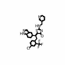 O=C1N=C(NCc2cccnc2)SC1=C(Cc1ccc(Cl)cc1C(F)(F)F)c1ccc2[nH]ncc2c1